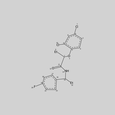 CCC(Oc1ccc(Cl)cc1Cl)C(=O)NC(CC)c1ccc(F)cc1